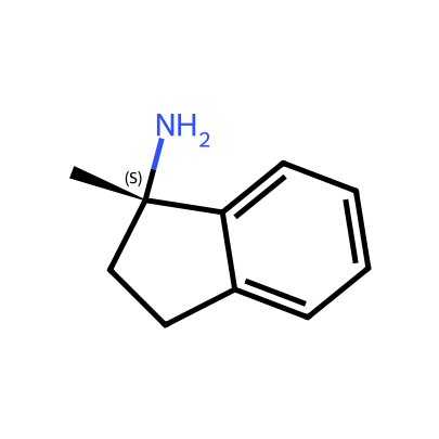 C[C@]1(N)CCc2ccccc21